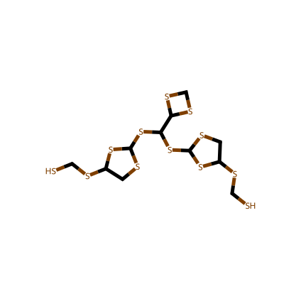 SCSC1CSC(SC(SC2SCC(SCS)S2)C2SCS2)S1